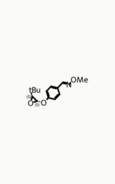 CON=Cc1ccc(O[C@@H]2O[C@H]2C(C)(C)C)cc1